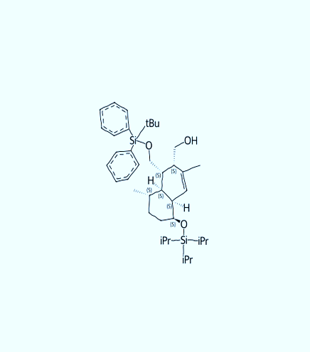 CC1=C[C@@H]2[C@H]([C@H](CO[Si](c3ccccc3)(c3ccccc3)C(C)(C)C)[C@@H]1CO)[C@@H](C)CC[C@@H]2O[Si](C(C)C)(C(C)C)C(C)C